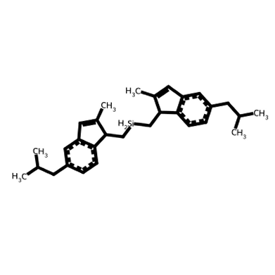 CC1=Cc2cc(CC(C)C)ccc2C1C[SiH2]CC1C(C)=Cc2cc(CC(C)C)ccc21